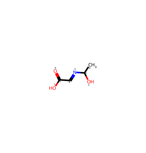 CC(O)N=CC(=O)O